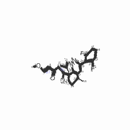 CO/C=C/C(=O)/C=C(\O)[C@@]1(C(C)C)CC[C@H](C)c2cc(-c3c(F)cccc3F)nnc21